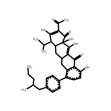 CCCC(C)Cc1ccc(-c2ccc(O)c3c2CC2CC4C(C(C)C)C(O)=C(C(C)=O)C(=O)C4(O)C(O)=C2C3=O)cc1